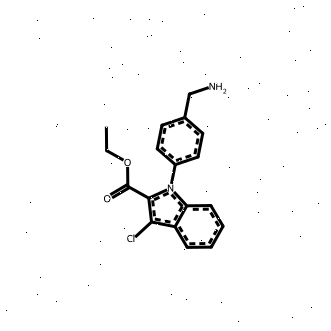 CCOC(=O)c1c(Cl)c2ccccc2n1-c1ccc(CN)cc1